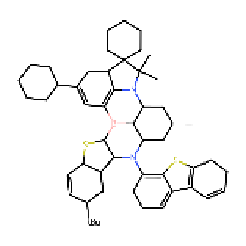 CC1CC2C3B(C4=C5C(CC(C6CCCCC6)=C4)C4(CCCCC4)C(C)(C)N5C3C1)C1SC3C=CC(C(C)(C)C)CC3C1N2C1=c2sc3c(c2=CCC1)C=CCC3